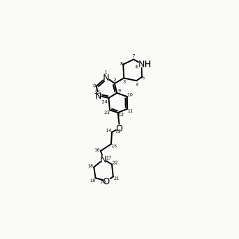 c1nc(C2CCNCC2)c2ccc(OCCCN3CCOCC3)cc2n1